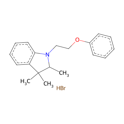 Br.CC1N(CCOc2ccccc2)c2ccccc2C1(C)C